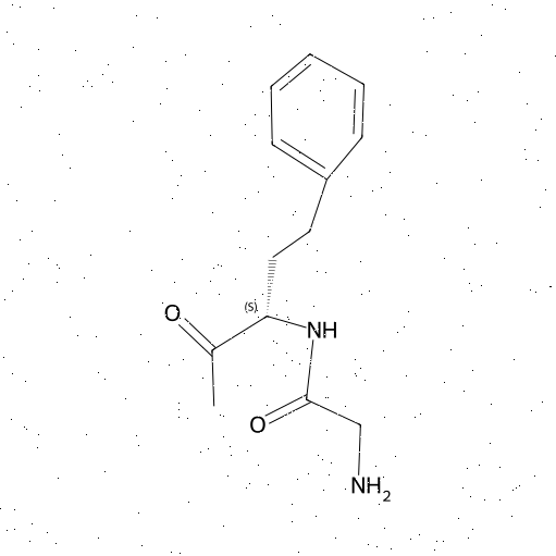 CC(=O)[C@H](CCc1ccccc1)NC(=O)CN